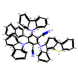 N#Cc1c(-n2c3ccccc3c3ccccc32)c(-c2ccc3ccccc3c2)c(-n2c3ccccc3c3ccccc32)c(C#N)c1-n1c2ccccc2c2c3sc4ccccc4c3ccc21